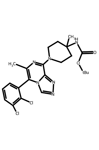 Cc1nc(N2CCC(C)(NC(=O)OC(C)(C)C)CC2)c2nncn2c1-c1cccc(Cl)c1Cl